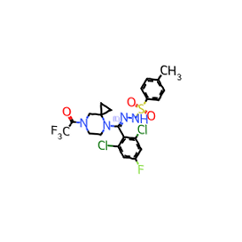 Cc1ccc(S(=O)(=O)N/N=C(\c2c(Cl)cc(F)cc2Cl)N2CCN(C(=O)C(F)(F)F)CC23CC3)cc1